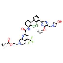 COc1nc(-c2cccc(-c3cccc(NC(=O)c4cc(C(F)(F)F)c5c(n4)CN(CCOC(C)=O)CC5)c3Cl)c2Cl)cnc1CN1CC(O)C1